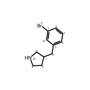 Brc1cccc(CC2CCNC2)c1